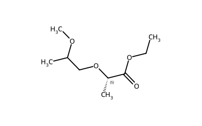 CCOC(=O)[C@H](C)OCC(C)OC